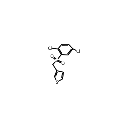 O=S(=O)(Cc1ccsc1)c1cc(Cl)ccc1Cl